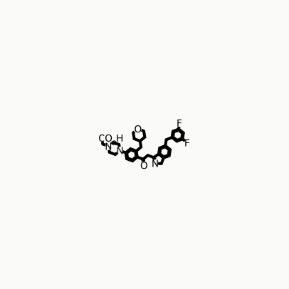 O=C(O)CN1CCN(c2ccc(C(=O)CC3=NCc4ccc(Cc5cc(F)cc(F)c5)cc43)c(CC3CCOCC3)c2)CC1